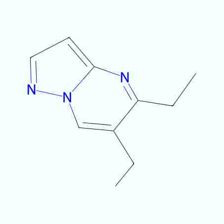 CCc1cn2nccc2nc1CC